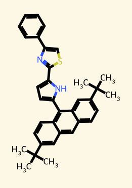 CC(C)(C)c1ccc2c(-c3ccc(-c4nc(-c5ccccc5)cs4)[nH]3)c3cc(C(C)(C)C)ccc3cc2c1